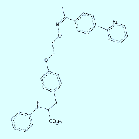 C/C(=N/OCCOc1ccc(CC(Nc2ccccc2)C(=O)O)cc1)c1ccc(-c2ccccn2)cc1